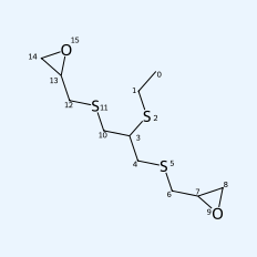 CCSC(CSCC1CO1)CSCC1CO1